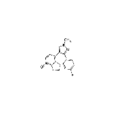 Cn1cc(-c2cc[n+]([O-])c3c2CCC3)c(-c2ccc(F)cc2)n1